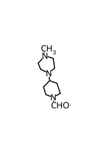 CN1CCN(C2CCN([C]=O)CC2)CC1